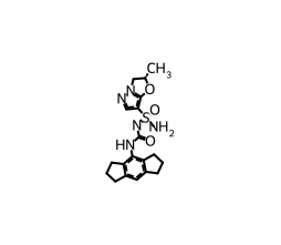 C[C@@H]1Cn2ncc([S@](N)(=O)=NC(=O)Nc3c4c(cc5c3CCC5)CCC4)c2O1